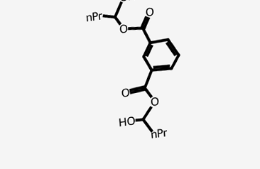 CCCC(O)OC(=O)c1cccc(C(=O)OC(O)CCC)c1